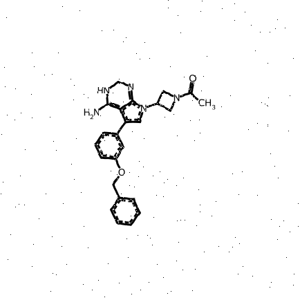 CC(=O)N1CC(n2cc(-c3cccc(OCc4ccccc4)c3)c3c2=NCNC=3N)C1